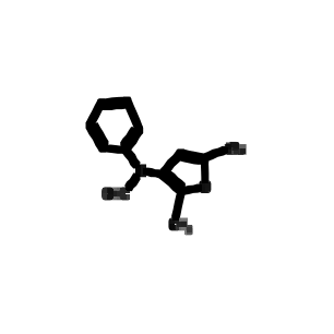 Cc1oc(C(C)(C)C)cc1N(C=O)c1ccccc1